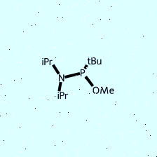 COP(N(C(C)C)C(C)C)C(C)(C)C